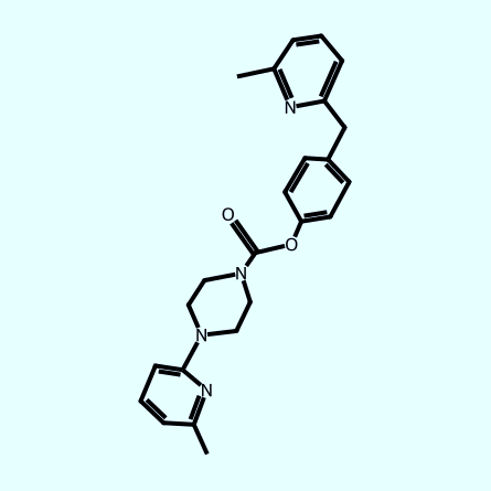 Cc1cccc(Cc2ccc(OC(=O)N3CCN(c4cccc(C)n4)CC3)cc2)n1